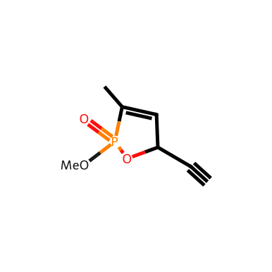 C#CC1C=C(C)P(=O)(OC)O1